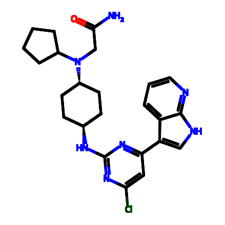 NC(=O)CN(C1CCCC1)[C@H]1CC[C@H](Nc2nc(Cl)cc(-c3c[nH]c4ncccc34)n2)CC1